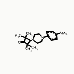 CSc1ccc(N2CCN(C3C(C)(C)C(=O)C3(C)C)CC2)cc1